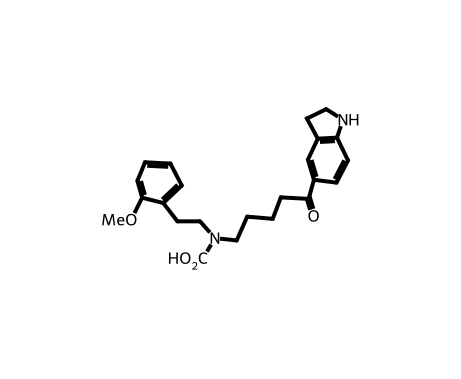 COc1ccccc1CCN(CCCCC(=O)c1ccc2c(c1)CCN2)C(=O)O